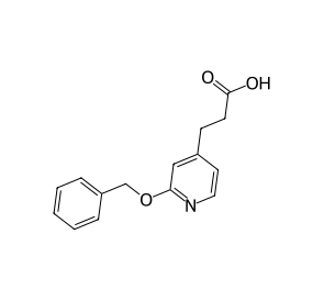 O=C(O)CCc1ccnc(OCc2ccccc2)c1